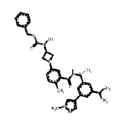 Cc1ccc(N2CC(N(C)C(=O)OCc3ccccc3)C2)cc1C(=O)N[C@H](C)c1cc(-c2cnn(C)c2)cc(C(C)C)c1